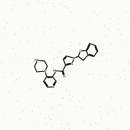 O=C(Nc1cnccc1N1CCNCC1)c1ccn(C2Cc3ccccc3O2)n1